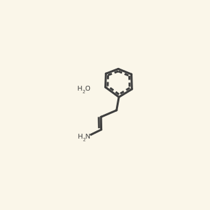 NC=CCc1ccccc1.O